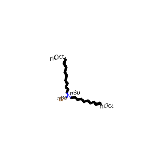 CCCCCCCCC=CCCCCCCCC[N+](CCCC)(CCCC)CCCCCCCCC=CCCCCCCCC.[Br-]